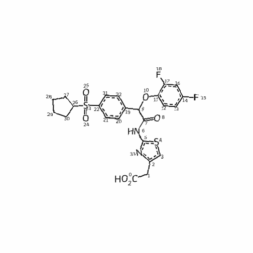 O=C(O)Cc1csc(NC(=O)C(Oc2ccc(F)cc2F)c2ccc(S(=O)(=O)C3CCCC3)cc2)n1